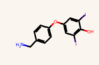 NCc1ccc(Oc2cc(I)c(O)c(I)c2)cc1